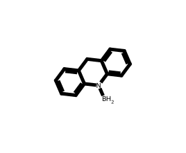 BN1c2ccccc2Cc2ccccc21